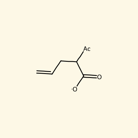 C=CCC(C(C)=O)C([O])=O